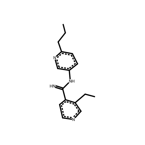 CCCc1ccc(NC(=N)c2ccncc2CC)cn1